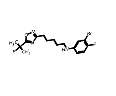 CC(C)(F)c1nc(CCCCCNc2ccc(F)c(Br)c2)no1